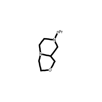 CCCN1CCN2CCOCC2C1